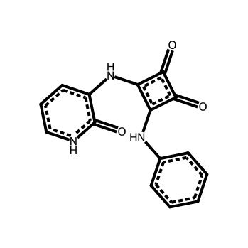 O=c1[nH]cccc1Nc1c(Nc2ccccc2)c(=O)c1=O